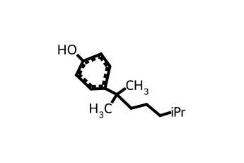 CC(C)CCCC(C)(C)c1ccc(O)cc1